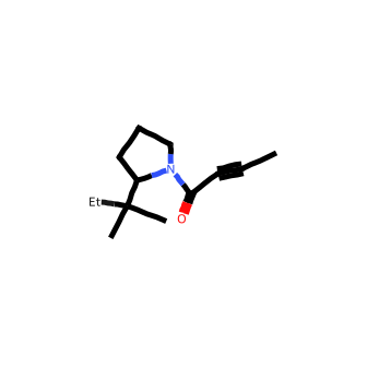 CC#CC(=O)N1CCCC1C(C)(C)CC